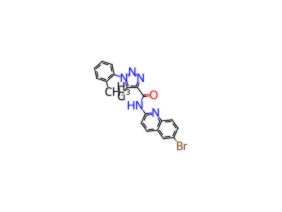 Cc1ccccc1-n1nnc(C(=O)Nc2ccc3cc(Br)ccc3n2)c1C